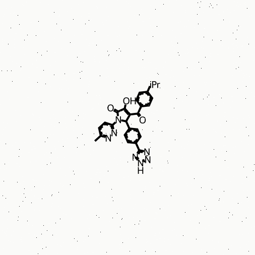 Cc1ccc(N2C(=O)C(O)=C(C(=O)c3ccc(C(C)C)cc3)C2c2ccc(-c3nn[nH]n3)cc2)nn1